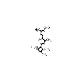 CC(C=CC(F)=C(C)C=Cc1c(C)sc(C)c1C)=CC=O